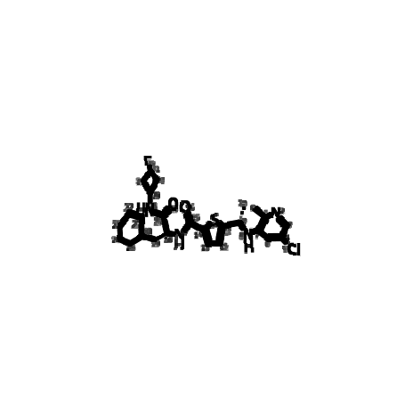 Cc1ncc(Cl)cc1N[C@@H](C)c1ccc(C(=O)N[C@@H](CC2CCCCC2)C(=O)NC2CC(F)C2)s1